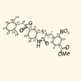 COC(=O)c1ccc(/C=C2/Sc3cc(S(=O)(=O)Cc4c(C)cccc4C)ccc3NC2=O)c([N+](=O)[O-])c1